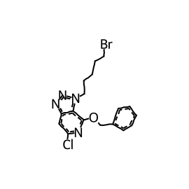 Clc1cc2nnn(CCCCCBr)c2c(OCc2ccccc2)n1